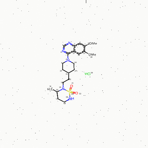 COc1cc2ncnc(N3CCC(CCN4C(C)CCNS4(=O)=O)CC3)c2cc1OC.Cl